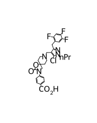 CCCn1nc(Cc2cc(F)c(F)cc2F)c(CN2CCC3(CC2)CN(c2ccc(C(=O)O)cc2)C(=O)O3)c1Cl